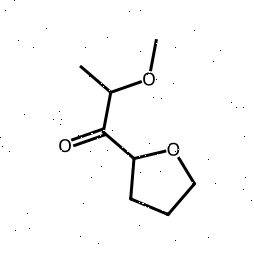 COC(C)C(=O)C1CCCO1